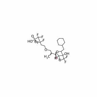 C=C(COCCC(F)(F)C(F)(F)S(=O)(=O)O)C(=O)OC(CC1CCCCC1)C(O)(C(F)(F)F)C(F)(F)F